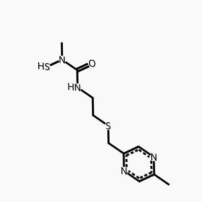 Cc1cnc(CSCCNC(=O)N(C)S)cn1